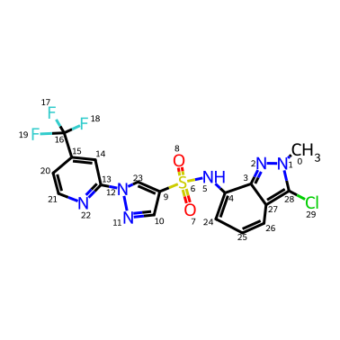 Cn1nc2c(NS(=O)(=O)c3cnn(-c4cc(C(F)(F)F)ccn4)c3)cccc2c1Cl